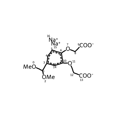 COC(OC)c1ccc(OCC(=O)[O-])c(OCC(=O)[O-])c1.[Na+].[Na+]